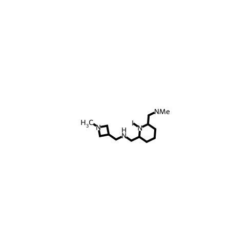 CNCC1CCCC(CNCC2CN(C)C2)N1I